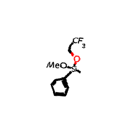 CO[Si](C)(OCC(F)(F)F)c1ccccc1